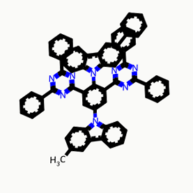 Cc1ccc2c(c1)c1ccccc1n2-c1cc(-c2nc(-c3ccccc3)nc(-c3ccccc3)n2)c(-n2c3ccccc3c3cc(-c4ccccc4)ccc32)c(-c2nc(-c3ccccc3)nc(-c3ccccc3)n2)c1